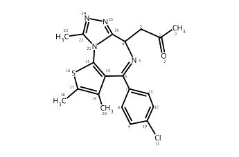 CC(=O)CC1N=C(c2ccc(Cl)cc2)c2c(sc(C)c2C)-n2c(C)nnc21